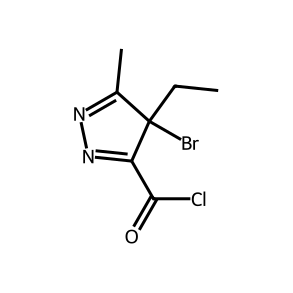 CCC1(Br)C(C)=NN=C1C(=O)Cl